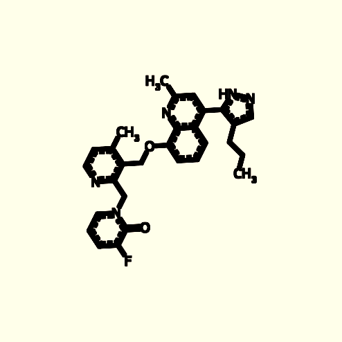 CCCc1cn[nH]c1-c1cc(C)nc2c(OCc3c(C)ccnc3Cn3cccc(F)c3=O)cccc12